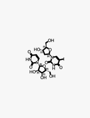 O=c1[nH]c(=O)n([C@H]2C[C@H](O)[C@@H](CO)O2)cc1I.O=c1ccn([C@@H]2O[C@H](CO)[C@@H](O)[C@H]2O)c(=O)[nH]1